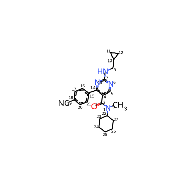 CN(C(=O)c1cnc(NCC2CC2)nc1-c1ccc(C#N)cc1)C1CCCCC1